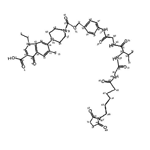 CCn1cc(C(=O)O)c(=O)c2cc(F)c(N3CCN(C(=O)OCc4ccc(NC(=O)CNC(=O)C(NC(=O)CNC(=O)CCCCCN5C(=O)CCC5=O)C(C)C)cc4)CC3)cc21